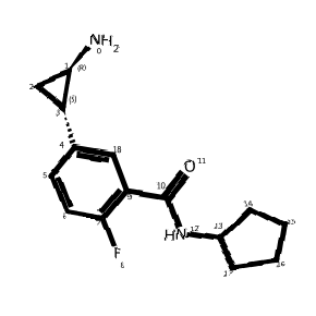 N[C@@H]1C[C@H]1c1ccc(F)c(C(=O)NC2CCCC2)c1